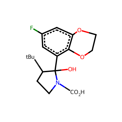 CC(C)(C)C1CCN(C(=O)O)C1(O)c1cc(F)cc2c1OCCO2